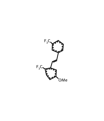 COc1ccc(C(F)(F)F)c(/C=C/c2cccc(C(F)(F)F)c2)c1